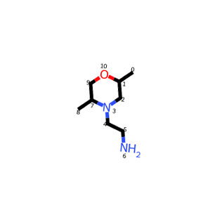 CC1CN(CCN)C(C)CO1